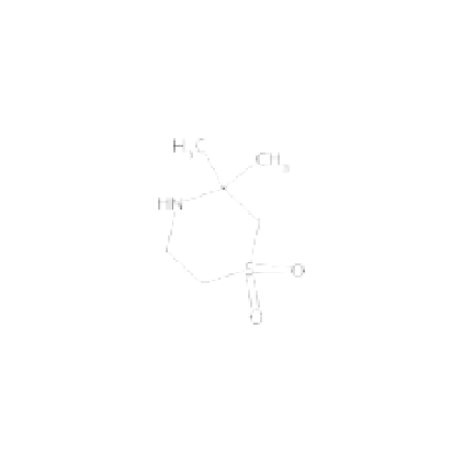 CC1(C)CS(=O)(=O)CCN1